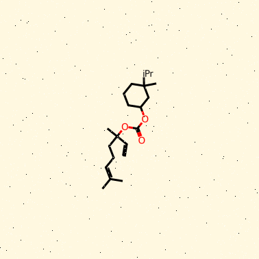 C=CC(C)(CCC=C(C)C)OC(=O)OC1CCCC(C)(C(C)C)C1